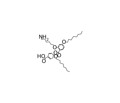 CCCCCCCCOc1ccc(C(=O)OC2(OCCCCCCCC)C=CC(C(=O)O)=CC2)c(OCCCCCCN)c1